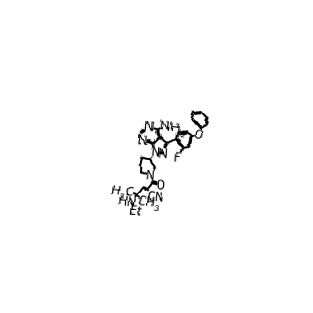 CCNC(C)(C)C=C(C#N)C(=O)N1CCC[C@H](n2nc(-c3ccc(Oc4ccccc4)cc3F)c3c(N)ncnc32)C1